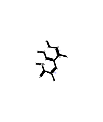 C=C(NC)\C(C)=C/C(=C/CC)C(/C)=C\CC